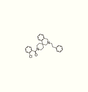 O=C(c1ccccc1Cl)N1CCC2(CC1)CN(CCc1ccccc1)Cc1ccccc12